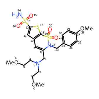 COCCN(CCOC)CC1=Cc2cc(S(N)(=O)=O)sc2S(=O)(=O)N1Cc1ccc(OC)cc1